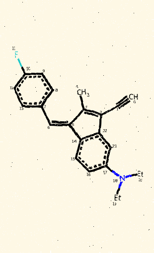 C#CC1=C(C)C(=Cc2ccc(F)cc2)c2ccc(N(CC)CC)cc21